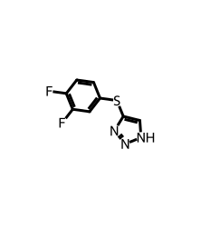 Fc1ccc(Sc2c[nH]nn2)cc1F